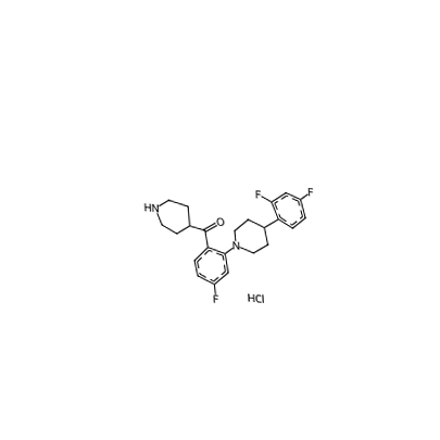 Cl.O=C(c1ccc(F)cc1N1CCC(c2ccc(F)cc2F)CC1)C1CCNCC1